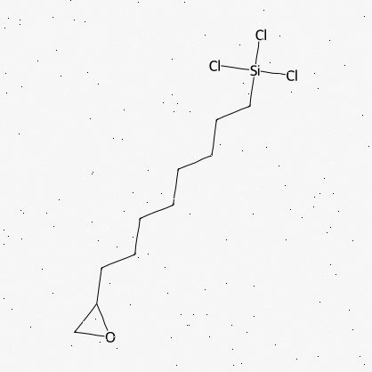 Cl[Si](Cl)(Cl)CCCCCCCCC1CO1